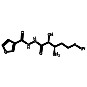 CC(C)SCC[C@@H](N)C(O)C(=O)NNC(=O)c1ccoc1